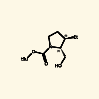 CC[C@@H]1CCN(C(=O)OC(C)(C)C)[C@H]1CO